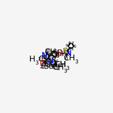 Cc1nc(-c2ccccc2)sc1COc1ccc(-c2c(C)nc(C)c([C@H](OC(C)(C)C)C(=O)O)c2N2CCC(C)(C)CC2)cc1